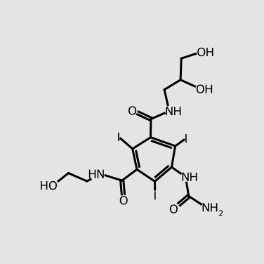 NC(=O)Nc1c(I)c(C(=O)NCCO)c(I)c(C(=O)NCC(O)CO)c1I